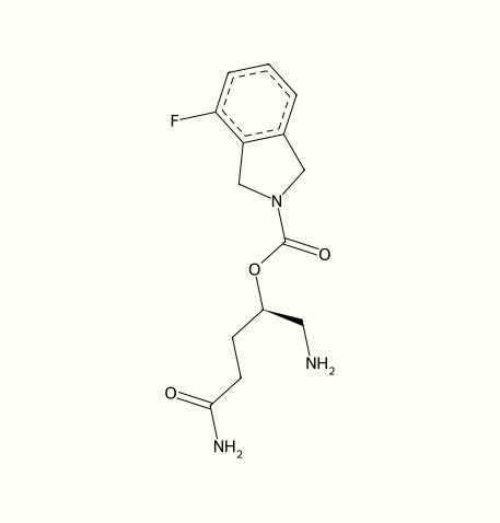 NC[C@@H](CCC(N)=O)OC(=O)N1Cc2cccc(F)c2C1